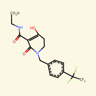 O=C(O)CNC(=O)C1=C(O)CCN(Cc2ccc(C(F)(F)C(F)(F)F)cc2)C1=O